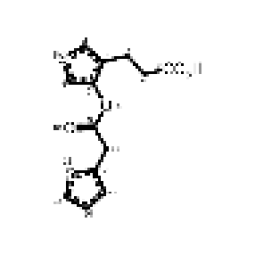 O=C(O)CCc1cscc1OC(=O)Cc1cccs1